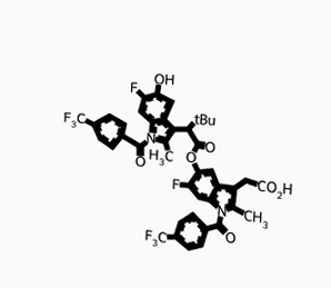 Cc1c(CC(=O)O)c2cc(OC(=O)C(c3c(C)n(C(=O)c4ccc(C(F)(F)F)cc4)c4cc(F)c(O)cc34)C(C)(C)C)c(F)cc2n1C(=O)c1ccc(C(F)(F)F)cc1